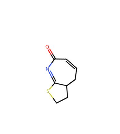 O=C1C=CCC2CCSC2=N1